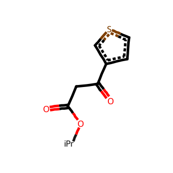 CC(C)OC(=O)CC(=O)c1ccsc1